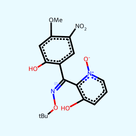 COc1cc(O)c(/C(=N/OC(C)(C)C)c2c(O)ccc[n+]2[O-])cc1[N+](=O)[O-]